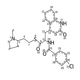 CN1CCCC1CCSC(=O)C(Cc1cc(=O)[nH]c2ccccc12)NC(=O)c1ccc(Cl)cc1